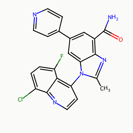 Cc1nc2c(C(N)=O)cc(-c3ccncc3)cc2n1-c1ccnc2c(Cl)ccc(F)c12